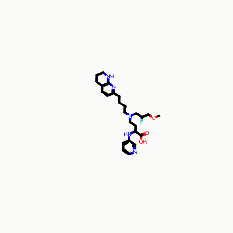 COCC(F)CN(CCCCc1ccc2c(n1)NCCC2)CCC(Nc1cccnc1)C(=O)O